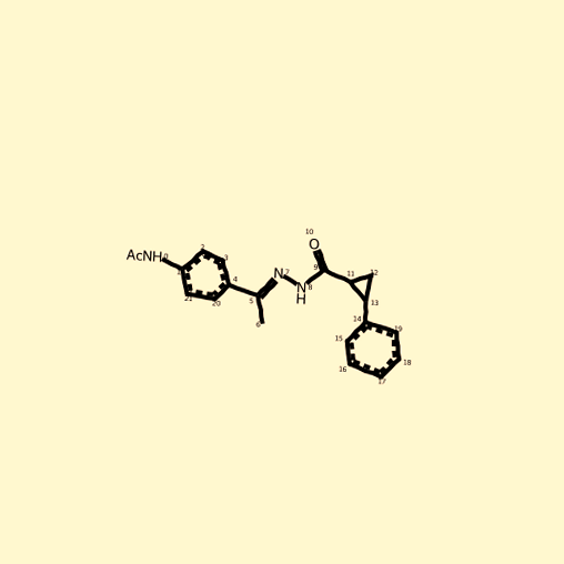 CC(=O)Nc1ccc(C(C)=NNC(=O)C2CC2c2ccccc2)cc1